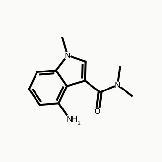 CN(C)C(=O)c1cn(C)c2cccc(N)c12